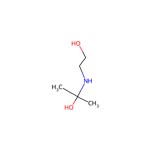 CC(C)(O)NCCO